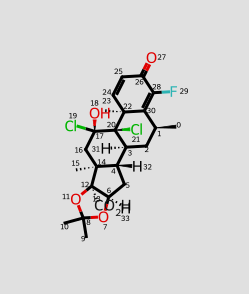 C[C@H]1C[C@H]2[C@@H]3C[C@H]4OC(C)(C)O[C@@]4(C(=O)O)[C@@]3(C)C[C@](O)(Cl)[C@]2(Cl)[C@@]2(C)C=CC(=O)C(F)=C12